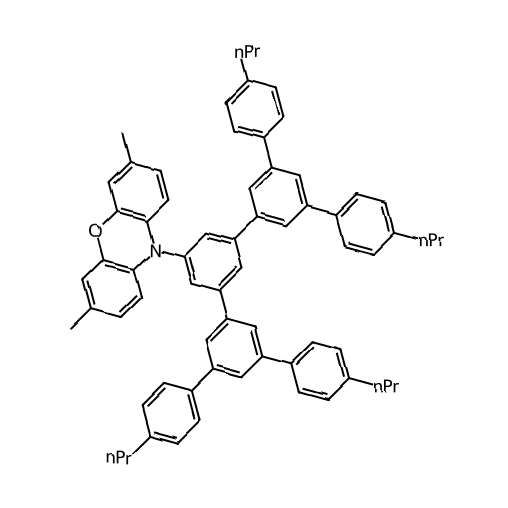 CCCc1ccc(-c2cc(-c3ccc(CCC)cc3)cc(-c3cc(-c4cc(-c5ccc(CCC)cc5)cc(-c5ccc(CCC)cc5)c4)cc(N4c5ccc(C)cc5Oc5cc(C)ccc54)c3)c2)cc1